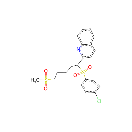 CS(=O)(=O)CCCCC(c1ccc2ccccc2n1)S(=O)(=O)c1ccc(Cl)cc1